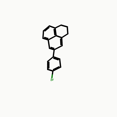 Brc1ccc(-c2cc3c4c(cccc4c2)CCC3)cc1